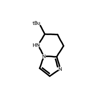 CC(C)(C)C1CCc2nccn2N1